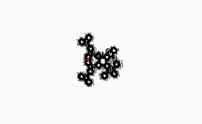 O=c1c2ccccc2oc2cc3c(cc12)c1cc2c(cc1c1ccc(-n4c5ccccc5c5cc(-n6c7ccccc7c7ccccc76)ccc54)cc1c1cc(-n4c5ccccc5c5cc(-n6c7ccccc7c7ccccc76)ccc54)cnc13)n(-c1ccccc1)c1ccccc1n2-c1ccccc1